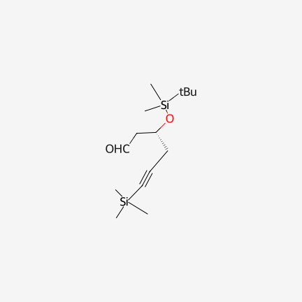 CC(C)(C)[Si](C)(C)O[C@H](CC#C[Si](C)(C)C)CC=O